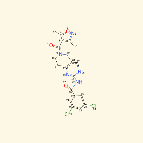 Cc1noc(C)c1C(=O)N1CCc2nc(NC(=O)c3cc(Cl)cc(Cl)c3)ncc2C1